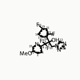 COc1ccc(C(F)(F)C(O)(Cn2cnnn2)c2ccc(F)cc2F)nc1